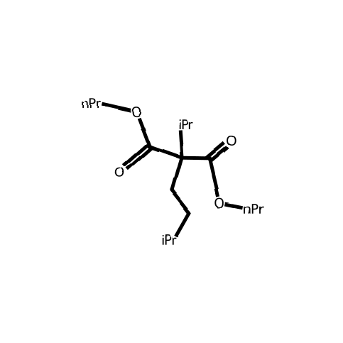 CCCOC(=O)C(CCC(C)C)(C(=O)OCCC)C(C)C